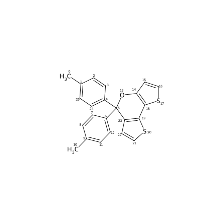 Cc1ccc(C2(c3ccc(C)cc3)Oc3ccsc3-c3sccc32)cc1